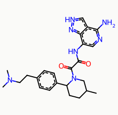 CC1CCC(c2ccc(CCN(C)C)cc2)N(C(=O)C(=O)Nc2cnc(N)c3c[nH]nc23)C1